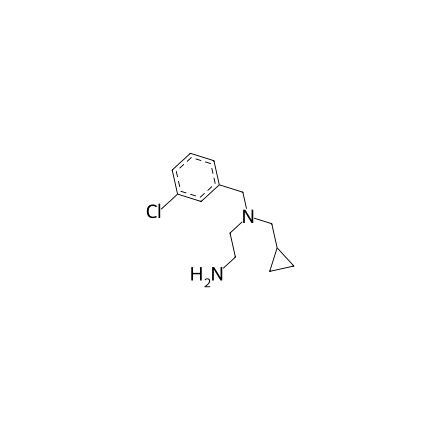 NCCN(Cc1cccc(Cl)c1)CC1CC1